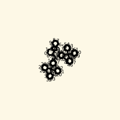 C1=Cc2c(oc3ccccc23)C(N(c2ccc(C3(c4ccccc4)c4ccccc4-c4ccccc43)cc2)c2ccc3c(c2)-c2ccccc2C3(c2ccccc2)c2ccccc2)C1